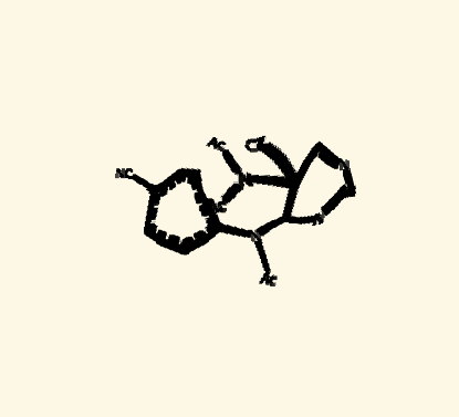 CC(=O)N(c1ccc(C#N)cc1)C1N=CN=CC1(Cl)N(C(C)=O)C(C)=O